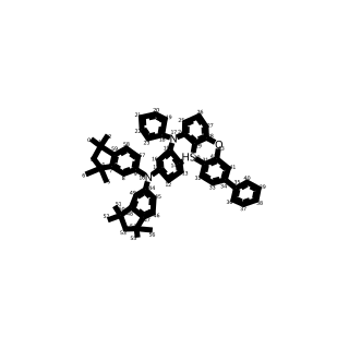 CC1(C)CC(C)(C)c2cc(N(c3ccc4c(c3)N(c3ccccc3)c3cccc5c3[SH]4c3ccc(-c4ccccc4)cc3O5)c3ccc4c(c3)C(C)(C)CC4(C)C)ccc21